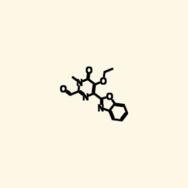 CCOc1c(-c2nc3ccccc3o2)nc(C=O)n(C)c1=O